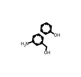 Nc1cccc(CO)c1.Oc1ccccc1